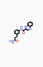 CNC(=O)CCc1cccc(NC(=O)c2cnc3ccccc3n2)c1